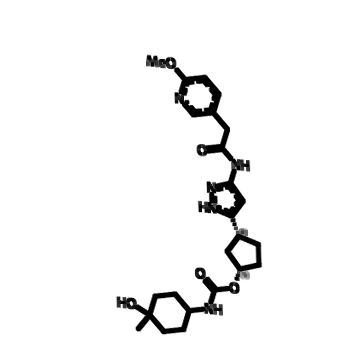 COc1ccc(CC(=O)Nc2cc([C@@H]3CC[C@H](OC(=O)NC4CCC(C)(O)CC4)C3)[nH]n2)cn1